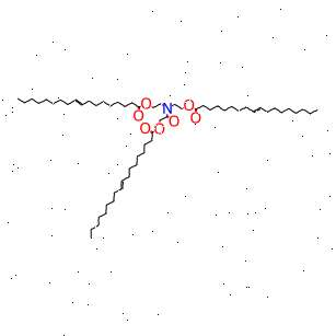 CCCCCCCCC=CCCCCCCCC(=O)OCCN(CCOC(=O)CCCCCCCC=CCCCCCCCC)C(=O)COC(=O)CCCCCCCC=CCCCCCCCC